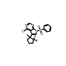 CC1(c2cn(S(=O)(=O)c3ccccc3)c3ncnc(Cl)c23)CCCC1(F)F